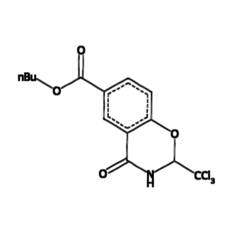 CCCCOC(=O)c1ccc2c(c1)C(=O)NC(C(Cl)(Cl)Cl)O2